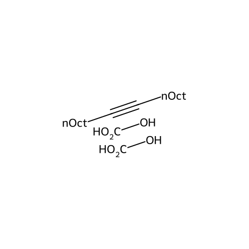 CCCCCCCCC#CCCCCCCCC.O=C(O)O.O=C(O)O